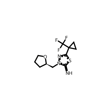 N=c1sc(C2(C(F)(F)F)CC2)nn1C[C@H]1CCCO1